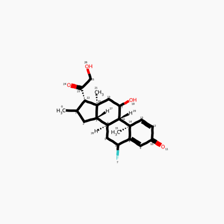 CC1C[C@H]2[C@@H]3CC(F)C4=CC(=O)C=C[C@]4(C)[C@H]3C(O)C[C@]2(C)[C@H]1C(=O)CO